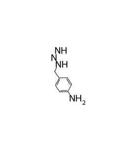 N=NNCc1ccc(N)cc1